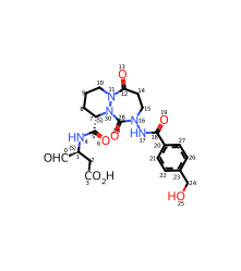 O=C[C@H](CC(=O)O)NC(=O)[C@@H]1CCCN2C(=O)CCN(NC(=O)c3ccc(CO)cc3)C(=O)N12